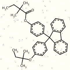 CCC(C)(C)Oc1ccc(C2(c3ccc(OC(=O)C(C)(C)CC)cc3)c3ccccc3-c3ccccc32)cc1